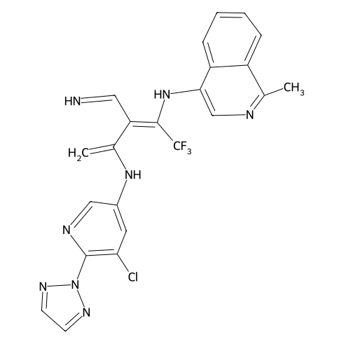 C=C(Nc1cnc(-n2nccn2)c(Cl)c1)/C(C=N)=C(/Nc1cnc(C)c2ccccc12)C(F)(F)F